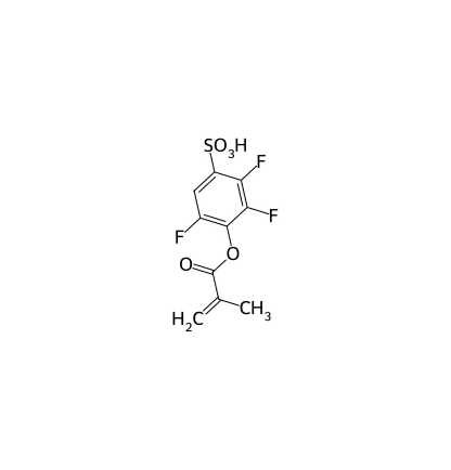 C=C(C)C(=O)Oc1c(F)cc(S(=O)(=O)O)c(F)c1F